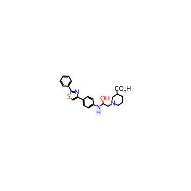 O=C(O)C1CCCN(CC(O)Nc2ccc(-c3csc(-c4ccccc4)n3)cc2)C1